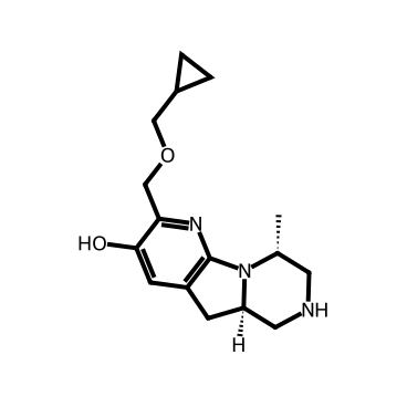 C[C@@H]1CNC[C@H]2Cc3cc(O)c(COCC4CC4)nc3N21